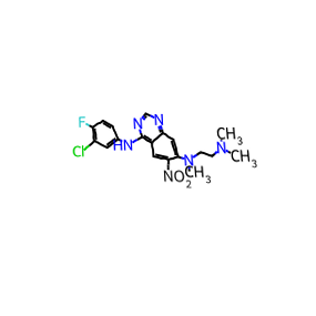 CN(C)CCN(C)c1cc2ncnc(Nc3ccc(F)c(Cl)c3)c2cc1[N+](=O)[O-]